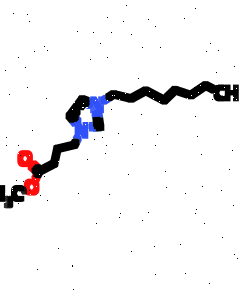 CCCCCCCCn1cc[n+](CCCC(=O)OC)c1